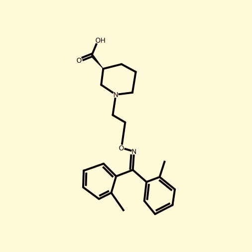 Cc1ccccc1C(=NOCCN1CCC[C@H](C(=O)O)C1)c1ccccc1C